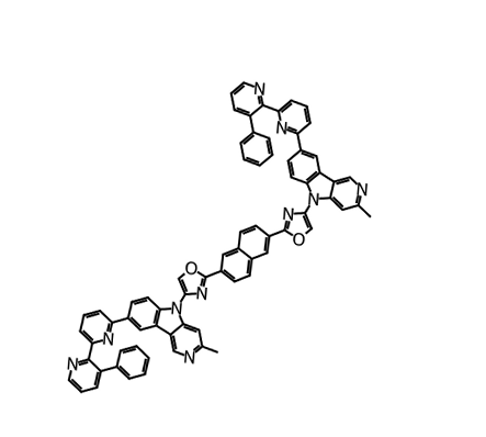 Cc1cc2c(cn1)c1cc(-c3cccc(-c4ncccc4-c4ccccc4)n3)ccc1n2-c1coc(-c2ccc3cc(-c4nc(-n5c6ccc(-c7cccc(-c8ncccc8-c8ccccc8)n7)cc6c6cnc(C)cc65)co4)ccc3c2)n1